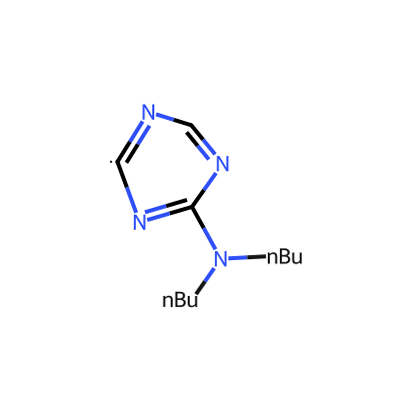 CCCCN(CCCC)c1n[c]ncn1